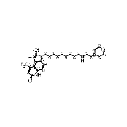 CCc1c(C)c2c3c(C(F)(F)F)cc(=O)[nH]c3ccc2n1CCCCCCCCCNCCN1CCOCC1